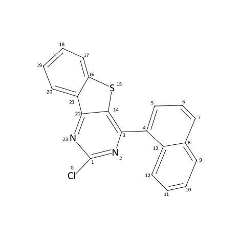 Clc1nc(-c2cccc3ccccc23)c2sc3ccccc3c2n1